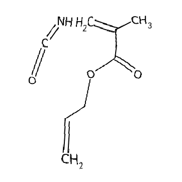 C=CCOC(=O)C(=C)C.N=C=O